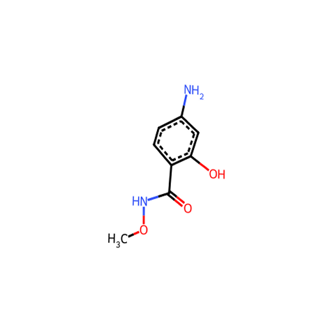 CONC(=O)c1ccc(N)cc1O